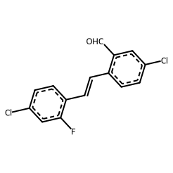 O=Cc1cc(Cl)ccc1C=Cc1ccc(Cl)cc1F